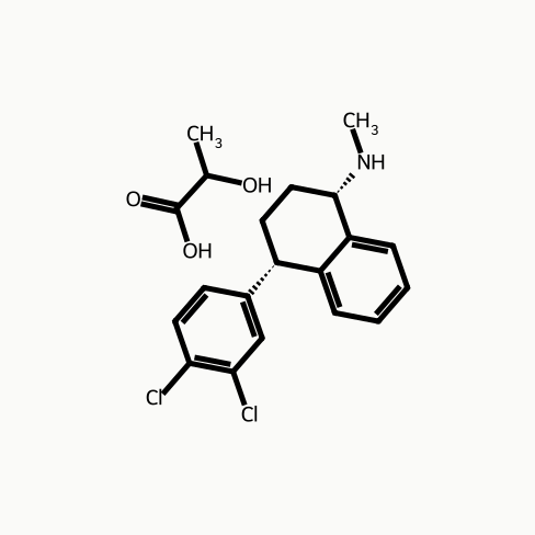 CC(O)C(=O)O.CN[C@H]1CC[C@@H](c2ccc(Cl)c(Cl)c2)c2ccccc21